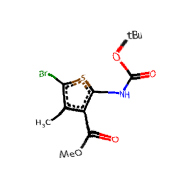 COC(=O)c1c(NC(=O)OC(C)(C)C)sc(Br)c1C